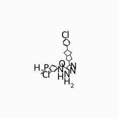 Cn1nc(C2CC3CC(c4ccc(Cl)cc4)CC3C2)c(C(=O)Nc2ccc(P)c(Cl)c2)c1N